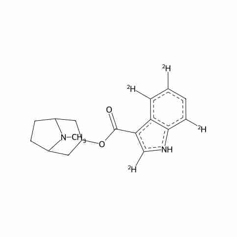 [2H]c1cc([2H])c2[nH]c([2H])c(C(=O)OC3CC4CCC(C3)N4C)c2c1[2H]